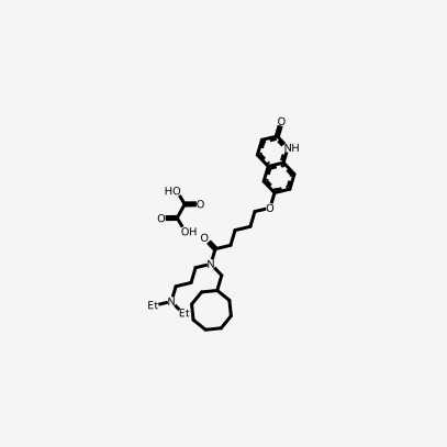 CCN(CC)CCCN(CC1CCCCCCC1)C(=O)CCCCOc1ccc2[nH]c(=O)ccc2c1.O=C(O)C(=O)O